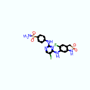 NS(=O)(=O)c1ccc(Nc2ncc(F)c(Nc3cc4c(cc3F)CS(=O)(=O)N4)n2)cc1